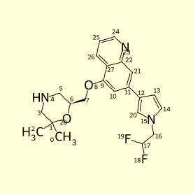 CC1(C)CNC[C@@H](COc2cc(-c3ccn(CC(F)F)c3)cc3ncccc23)O1